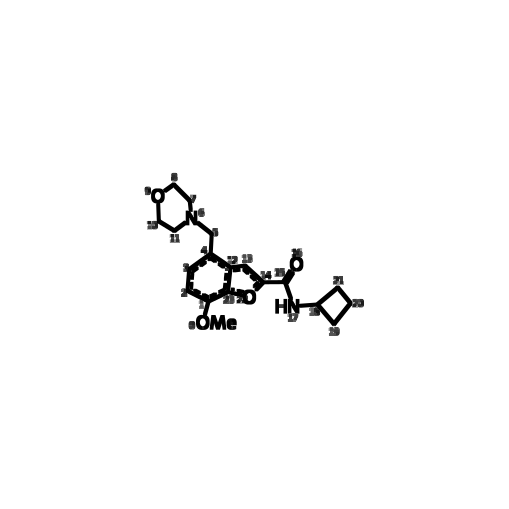 COc1ccc(CN2CCOCC2)c2cc(C(=O)NC3CCC3)oc12